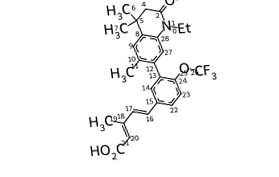 CCN1C(=O)CC(C)(C)c2cc(C)c(-c3cc(C=CC(C)=CC(=O)O)ccc3OC(F)(F)F)cc21